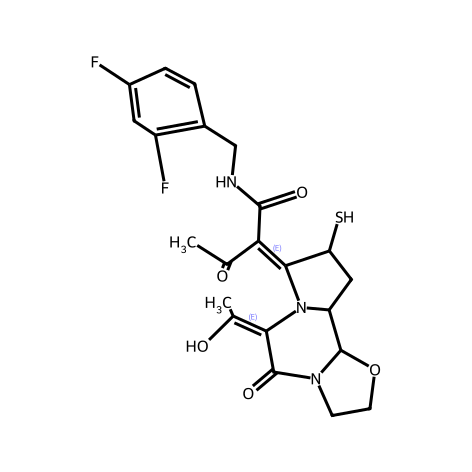 CC(=O)/C(C(=O)NCc1ccc(F)cc1F)=C1/C(S)CC2C3OCCN3C(=O)/C(=C(/C)O)N12